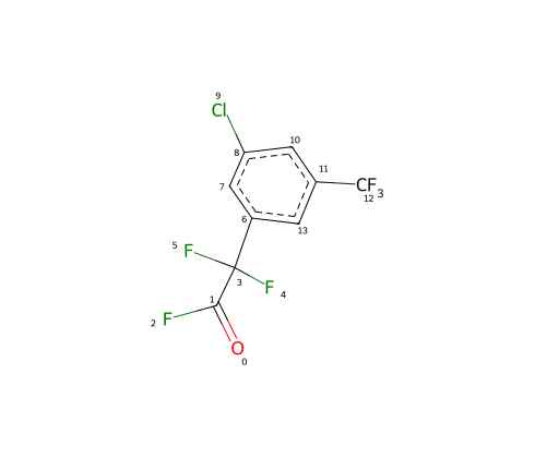 O=C(F)C(F)(F)c1cc(Cl)cc(C(F)(F)F)c1